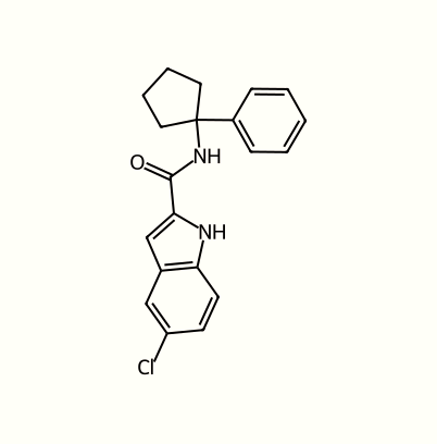 O=C(NC1(c2ccccc2)CCCC1)c1cc2cc(Cl)ccc2[nH]1